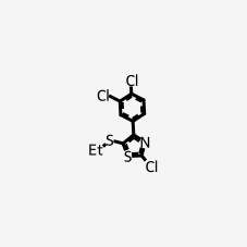 CCSc1sc(Cl)nc1-c1ccc(Cl)c(Cl)c1